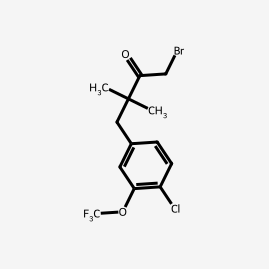 CC(C)(Cc1ccc(Cl)c(OC(F)(F)F)c1)C(=O)CBr